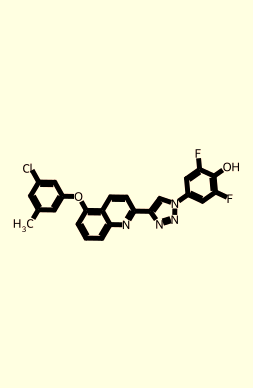 Cc1cc(Cl)cc(Oc2cccc3nc(-c4cn(-c5cc(F)c(O)c(F)c5)nn4)ccc23)c1